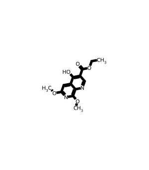 CCOC(=O)c1cnc2c(OC)nc(OC)cc2c1O